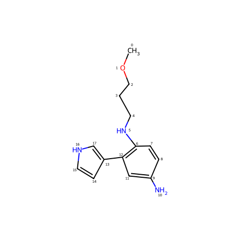 COCCCNc1ccc(N)cc1-c1cc[nH]c1